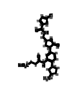 CCOC(=O)CCC(=O)Nc1cc(N2CC(CNC(=O)c3ccc(Cl)s3)OC2=O)ccc1N1CCC(N)C1